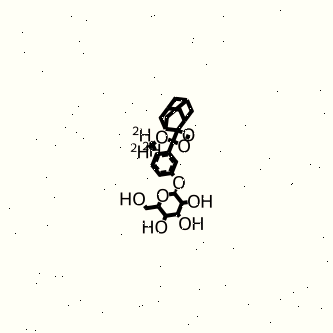 [2H]C([2H])([2H])OC1(c2cccc(O[C@@H]3OC(CO)C(O)C(O)C3O)c2)OOC12C1CC3CC(C1)CC2C3